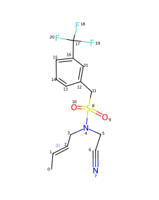 C/C=C/CN(CC#N)S(=O)(=O)Cc1cccc(C(F)(F)F)c1